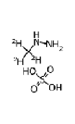 O=S(=O)(O)O.[2H]C([2H])([2H])NN